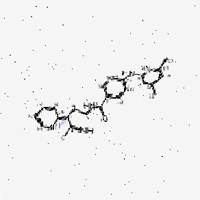 CC(=N)/C(CCNC(=O)c1cnc(Nc2cc(C)cc(C)n2)nc1)=C1/C=CC=CN1